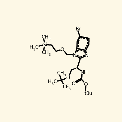 CC(C)(C)OC(=O)N[C@@H](COC(C)(C)C(F)(F)F)c1nc2ccc(Br)cc2n1COCC[Si](C)(C)C